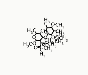 COC1OC(C)C(C)C(OC2OC(C)C(OC)C(C)C2O[Si](C)(C)C)C1N(C(C)=O)[Si](C)(C)C